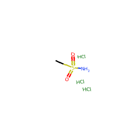 CS(N)(=O)=O.Cl.Cl.Cl